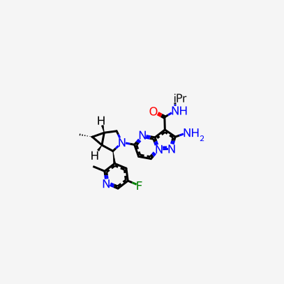 Cc1ncc(F)cc1[C@H]1[C@@H]2[C@H](C)[C@@H]2CN1c1ccn2nc(N)c(C(=O)NC(C)C)c2n1